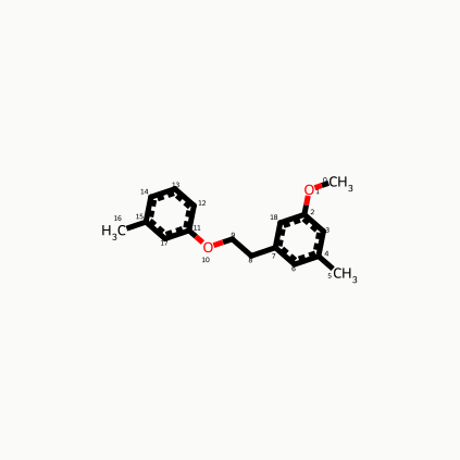 COc1cc(C)cc(CCOc2cccc(C)c2)c1